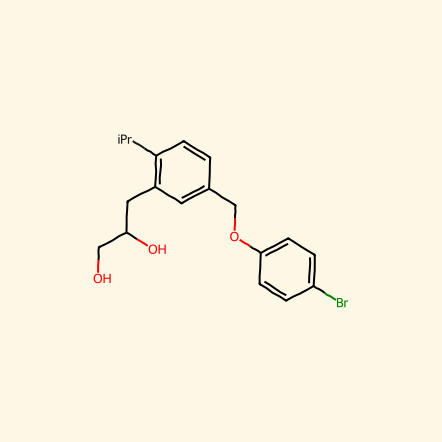 CC(C)c1ccc(COc2ccc(Br)cc2)cc1CC(O)CO